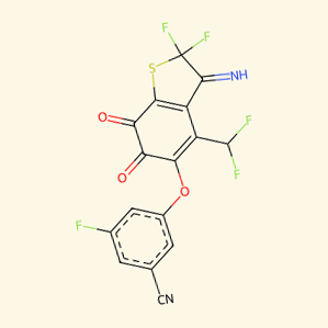 N#Cc1cc(F)cc(OC2=C(C(F)F)C3=C(SC(F)(F)C3=N)C(=O)C2=O)c1